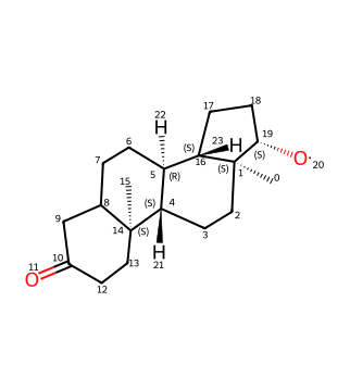 C[C@]12CC[C@H]3[C@@H](CCC4CC(=O)CC[C@@]43C)[C@@H]1CC[C@@H]2[O]